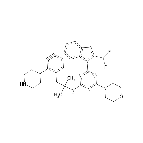 CC(C)(Cc1ccc#cc1C1CCNCC1)Nc1nc(N2CCOCC2)nc(-n2c(C(F)F)nc3ccccc32)n1